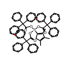 CC1=C(C)C(C)=[C]([Ti]([O]C(=O)C(c2ccccc2)(c2ccccc2)c2ccccc2)([O]C(=O)C(c2ccccc2)(c2ccccc2)c2ccccc2)[O]C(=O)C(c2ccccc2)(c2ccccc2)c2ccccc2)C1